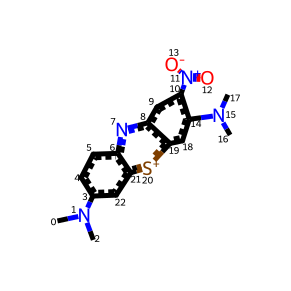 CN(C)c1ccc2nc3cc([N+](=O)[O-])c(N(C)C)cc3[s+]c2c1